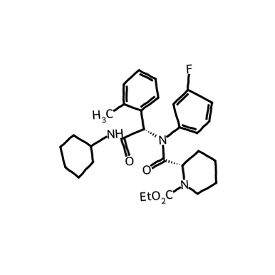 CCOC(=O)N1CCCC[C@H]1C(=O)N(c1cccc(F)c1)[C@H](C(=O)NC1CCCCC1)c1ccccc1C